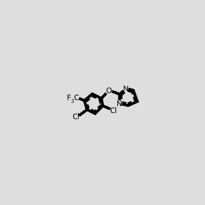 FC(F)(F)c1cc(Oc2ncccn2)c(Cl)cc1Cl